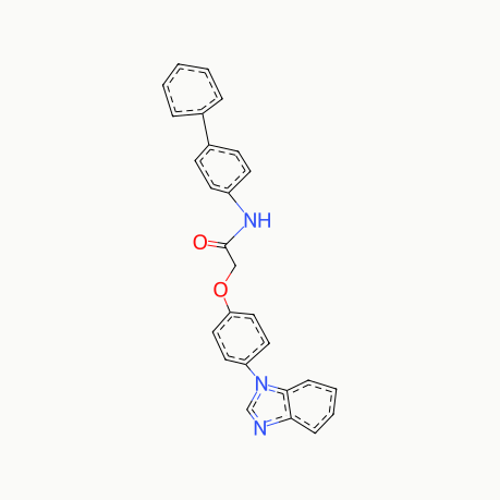 O=C(COc1ccc(-n2cnc3ccccc32)cc1)Nc1ccc(-c2ccccc2)cc1